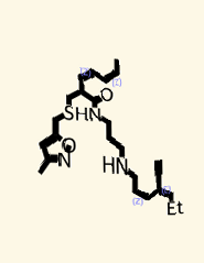 C#CC(/C=C\CNCCCNC(=O)C(/C=C\C=C/C)CSCc1cc(C)no1)=C/CC